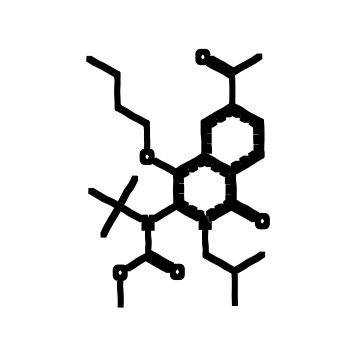 CCCCOc1c(N(C(=O)OC)C(C)(C)C)n(CC(C)C)c(=O)c2ccc(C(C)=O)cc12